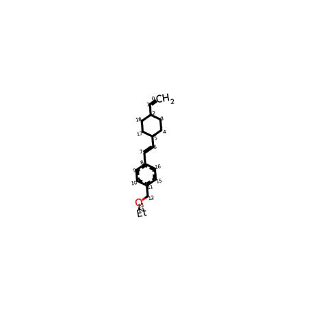 C=CC1CCC(C=Cc2ccc(COCC)cc2)CC1